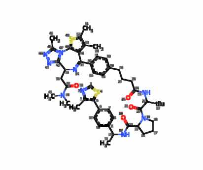 Cc1ncsc1-c1ccc(C(C)NC(=O)C2CCCN2C(=O)C(NC(=O)CCCc2ccc(C3=NC(CC(=O)N(C)C)c4nnc(C)n4-c4sc(C)c(C)c43)cc2)C(C)(C)C)cc1